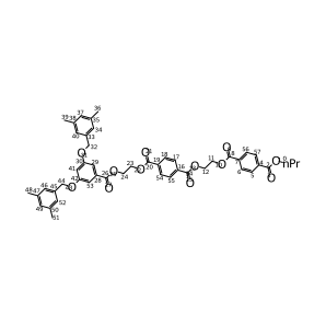 CCCOC(=O)c1ccc(C(=O)OCCOC(=O)c2ccc(C(=O)OCCOC(=O)c3cc(OCc4cc(C)cc(C)c4)cc(OCc4cc(C)cc(C)c4)c3)cc2)cc1